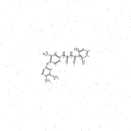 Cc1ccc(Sc2ncc(NC(=O)NC(=O)c3c(Cl)cccc3Cl)nc2C)cc1C